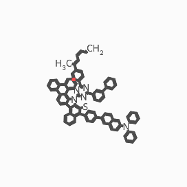 C=C/C=C\C=C(/C)c1ccc(-c2nc(-c3cccc(-c4ccccc4)c3)nc(-n3c4c(ccc5c6ccccc6c6ccccc6c54)c4c5ccccc5c5c6ccc(-c7ccc8cc(N(c9ccccc9)c9ccccc9)ccc8c7)cc6sc5c43)n2)cc1